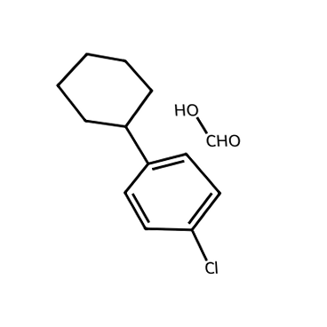 Clc1ccc(C2CCCCC2)cc1.O=CO